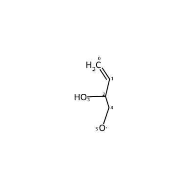 C=CC(O)C[O]